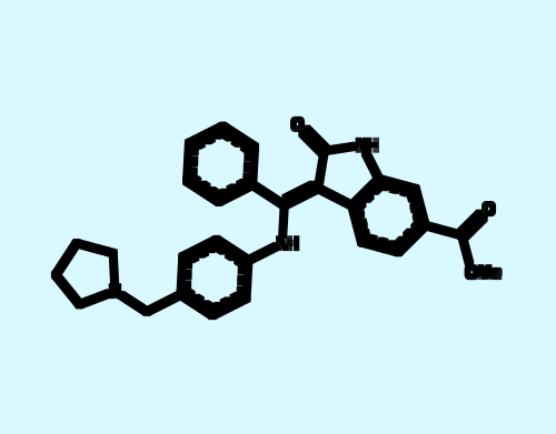 COC(=O)c1ccc2c(c1)NC(=O)C2=C(Nc1ccc(CN2CCCC2)cc1)c1ccccc1